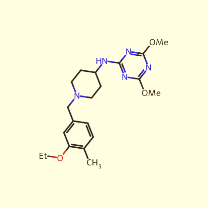 CCOc1cc(CN2CCC(Nc3nc(OC)nc(OC)n3)CC2)ccc1C